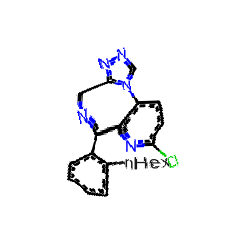 CCCCCCc1ccccc1C1=NCc2nncn2-c2ccc(Cl)nc21